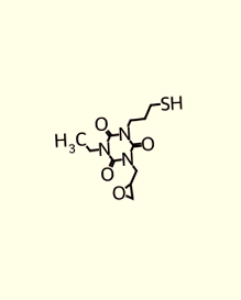 CCn1c(=O)n(CCCS)c(=O)n(CC2CO2)c1=O